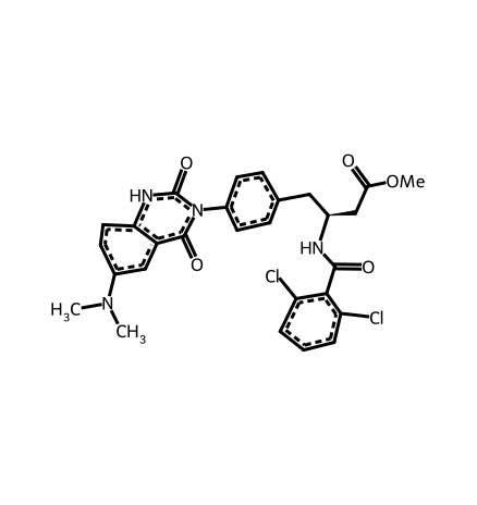 COC(=O)C[C@H](Cc1ccc(-n2c(=O)[nH]c3ccc(N(C)C)cc3c2=O)cc1)NC(=O)c1c(Cl)cccc1Cl